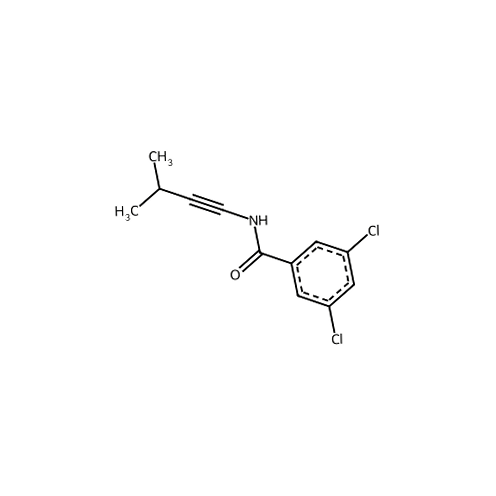 CC(C)C#CNC(=O)c1cc(Cl)cc(Cl)c1